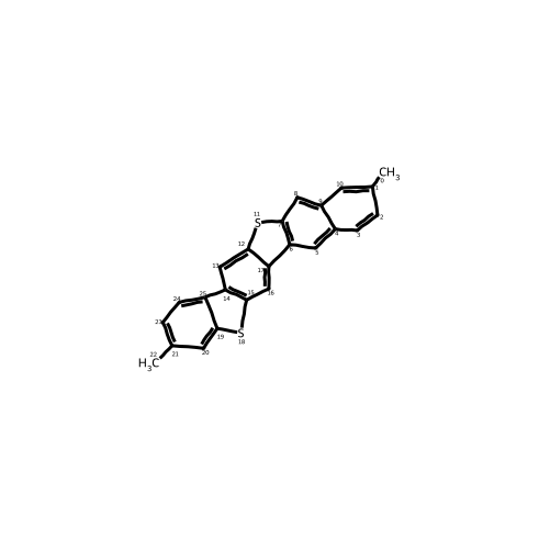 Cc1ccc2cc3c(cc2c1)sc1cc2c(cc13)sc1cc(C)ccc12